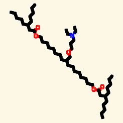 CCCCCC(CCCCC)CC(=O)OCCCCCCCCC(CCCCCCCCOC(=O)CC(CCCCC)CCCCC)COCCCN(CC)CC